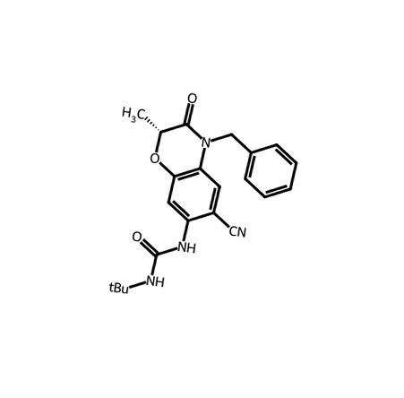 C[C@H]1Oc2cc(NC(=O)NC(C)(C)C)c(C#N)cc2N(Cc2ccccc2)C1=O